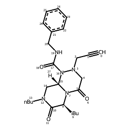 C#CCN1CC(=O)N2[C@@H](C(C)CC)C(=O)N(CCCC)C[C@@H]2N1C(=O)NCc1ccccc1